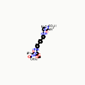 COC(=O)N[C@H](C(=O)N1CC2(C[C@H]1c1nc3cc(-c4ccc(-c5ccc6[nH]c([C@@H]7CCCN7C(=O)[C@H](C(C)C)N(C)C(=O)O)nc6c5)cc4)ccc3[nH]1)OCCO2)C(C)C